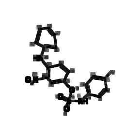 Cc1ccc(NS(=O)(=O)Oc2ccc(Nc3ccccc3)c([N+](=O)[O-])c2)cc1